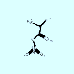 O=C(O[SH](=O)=O)C(F)C(F)(F)F